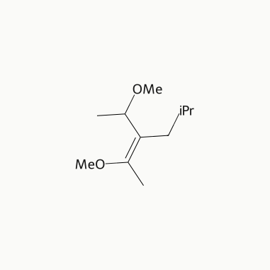 COC(C)=C(CC(C)C)C(C)OC